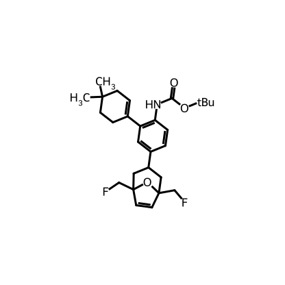 CC1(C)CC=C(c2cc(C3CC4(CF)C=CC(CF)(C3)O4)ccc2NC(=O)OC(C)(C)C)CC1